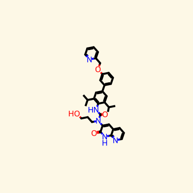 CC(C)c1cc(-c2cccc(OCc3ccccn3)c2)cc(C(C)C)c1NC(=O)N(CCCO)c1cc2cccnc2[nH]c1=O